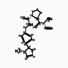 CN[C@H](C(=O)N1CCC[C@H]1C(=O)NCc1ccc(C2SC=NC2C)cc1)C(C)(C)C